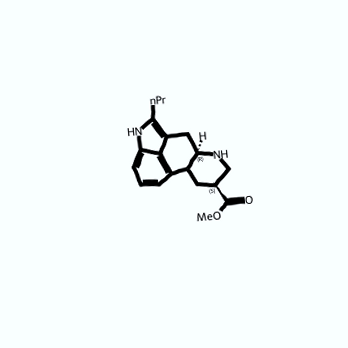 CCCc1[nH]c2cccc3c2c1C[C@H]1NC[C@@H](C(=O)OC)CC31